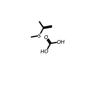 C=C(C)SC.O=C(O)O